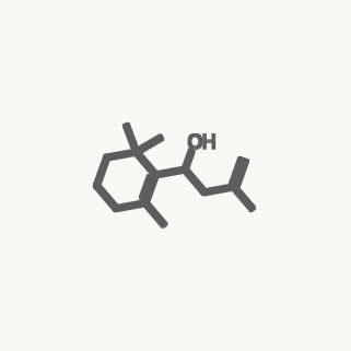 C=C(C)CC(O)C1=C(C)CCCC1(C)C